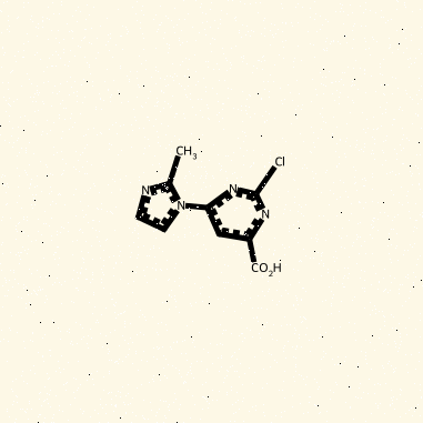 Cc1nccn1-c1cc(C(=O)O)nc(Cl)n1